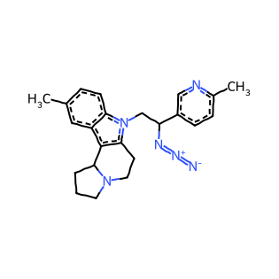 Cc1ccc2c(c1)c1c(n2CC(N=[N+]=[N-])c2ccc(C)nc2)CCN2CCCC12